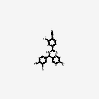 N#Cc1ccc(C(=O)NC(c2ccc(Cl)c(Cl)c2)c2ccc(Br)cn2)cc1Cl